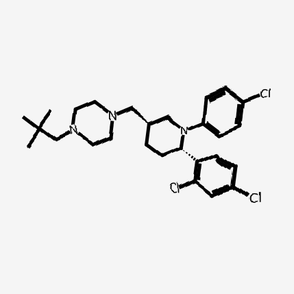 CC(C)(C)CN1CCN(C[C@@H]2CC[C@@H](c3ccc(Cl)cc3Cl)N(c3ccc(Cl)cc3)C2)CC1